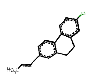 O=C(O)/C=C/c1ccc2c(c1)CCc1cc(Cl)ccc1-2